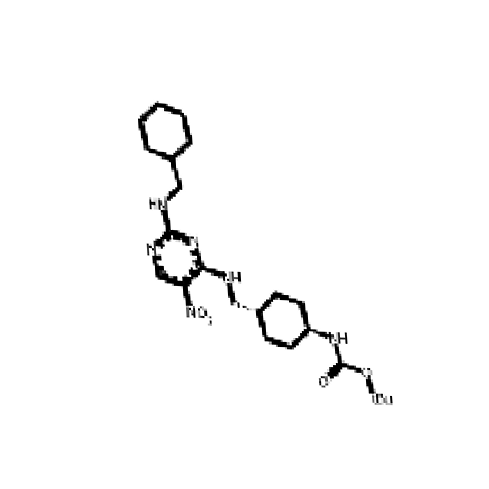 CC(C)(C)OC(=O)N[C@H]1CC[C@H](CNc2nc(NCC3CCCCC3)ncc2[N+](=O)[O-])CC1